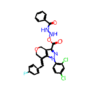 O=C(NNOC(=O)c1nn(-c2ccc(Cl)cc2Cl)c2c1COCC2=Cc1ccc(F)cc1)c1ccccc1